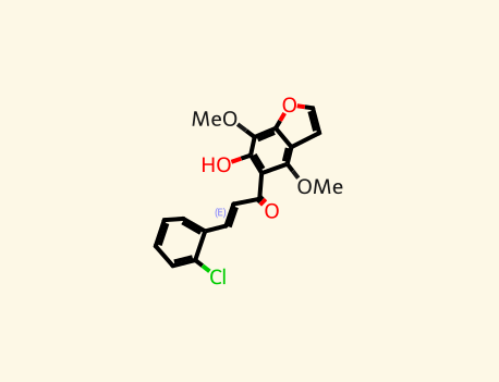 COc1c(C(=O)/C=C/c2ccccc2Cl)c(O)c(OC)c2occc12